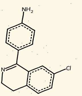 Nc1ccc(C2=NCCc3ccc(Cl)cc32)cc1